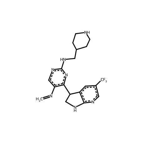 C=Nc1cnc(NCC2CCNCC2)nc1C1CNc2ncc(C(F)(F)F)cc21